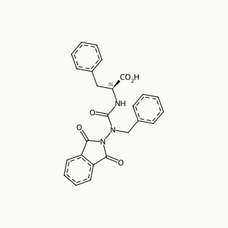 O=C(O)[C@H](Cc1ccccc1)NC(=O)N(Cc1ccccc1)N1C(=O)c2ccccc2C1=O